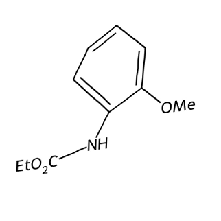 C[CH]OC(=O)Nc1ccccc1OC